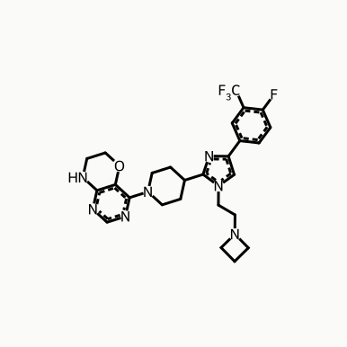 Fc1ccc(-c2cn(CCN3CCC3)c(C3CCN(c4ncnc5c4OCCN5)CC3)n2)cc1C(F)(F)F